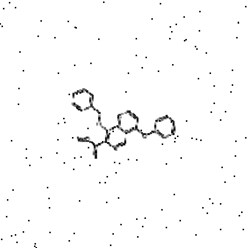 COC(=O)c1ncc2c(Oc3ccccc3)cccc2c1OCc1ccccc1